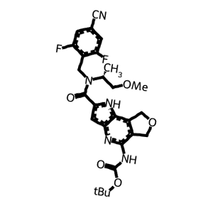 COC[C@@H](C)N(Cc1c(F)cc(C#N)cc1F)C(=O)c1cc2nc(NC(=O)OC(C)(C)C)c3c(c2[nH]1)COC3